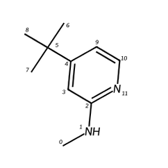 CNc1cc(C(C)(C)C)ccn1